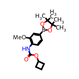 COc1cc(B2OC(C)(C)C(C)(C)O2)ccc1NC(=O)OC1CCC1